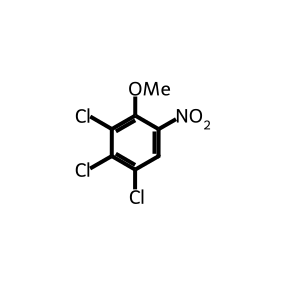 COc1c([N+](=O)[O-])cc(Cl)c(Cl)c1Cl